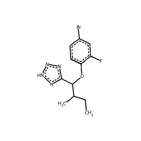 CCC(C)C(Oc1ccc(Br)cc1F)c1nn[nH]n1